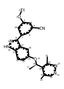 CCOc1cc(C#N)cc(-c2n[nH]c3ccc(O[C@H](C)c4c(C)cnnc4C)cc23)c1